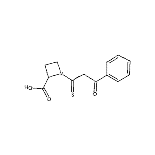 O=C(CC(=S)N1CCC1C(=O)O)c1ccccc1